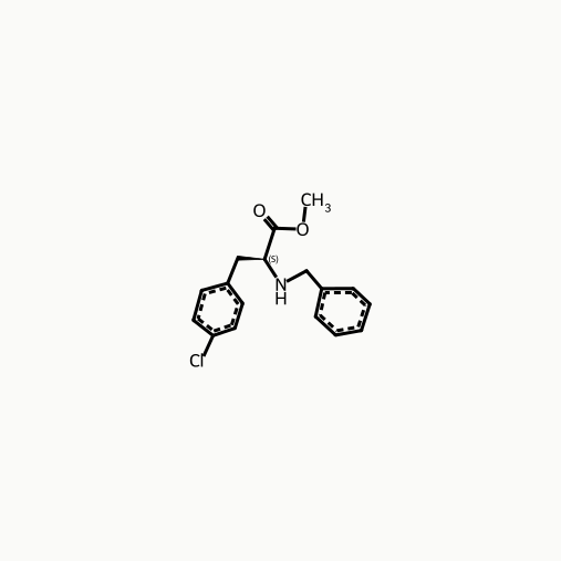 COC(=O)[C@H](Cc1ccc(Cl)cc1)NCc1ccccc1